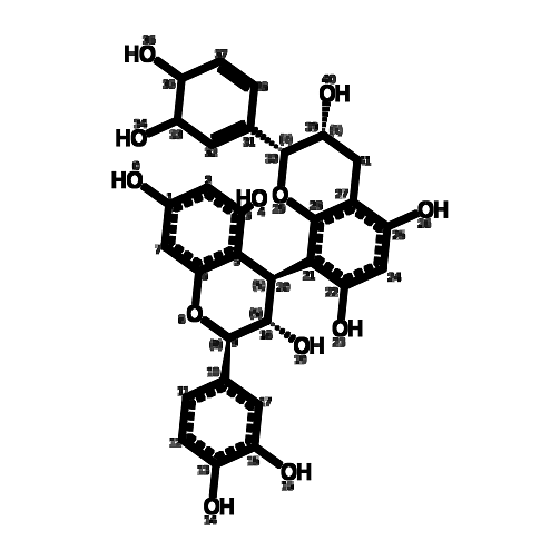 Oc1cc(O)c2c(c1)O[C@H](c1ccc(O)c(O)c1)[C@@H](O)[C@@H]2c1c(O)cc(O)c2c1O[C@H](C1=CC(O)C(O)C=C1)[C@H](O)C2